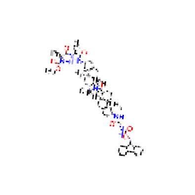 CC(C)[C@H](NC(=O)OC(C)(C)C)C(=O)N[C@@H](C)C(=O)Nc1ccc2c(c1)[C@@]1(C)CCC[C@](C)(N(C=O)C(=O)[C@@]3(C)CCC[C@]4(C)c5cc(NC(=O)CNC(=O)OCC6c7ccccc7-c7ccccc76)ccc5CC[C@@H]34)[C@@H]1CC2